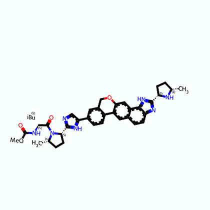 CC[C@H](C)[C@H](NC(=O)OC)C(=O)N1[C@@H](C)CC[C@H]1c1ncc(-c2ccc3c(c2)COc2cc4c(ccc5nc([C@@H]6CC[C@H](C)N6)[nH]c54)cc2-3)[nH]1